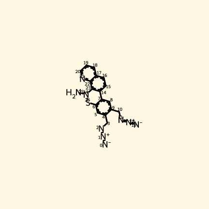 [N-]=[N+]=NCc1cc2c(cc1CN=[N+]=[N-])-c1ccc3cccnc3c1N(N)S2